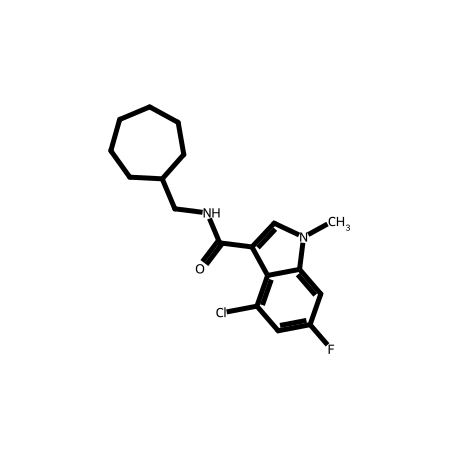 Cn1cc(C(=O)NCC2CCCCCC2)c2c(Cl)cc(F)cc21